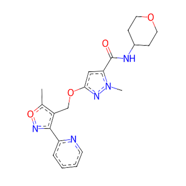 Cc1onc(-c2ccccn2)c1COc1cc(C(=O)NC2CCOCC2)n(C)n1